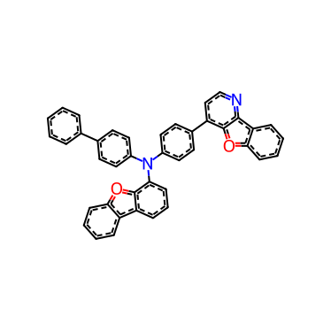 c1ccc(-c2ccc(N(c3ccc(-c4ccnc5c4oc4ccccc45)cc3)c3cccc4c3oc3ccccc34)cc2)cc1